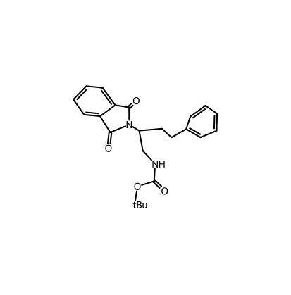 CC(C)(C)OC(=O)NCC(CCc1ccccc1)N1C(=O)c2ccccc2C1=O